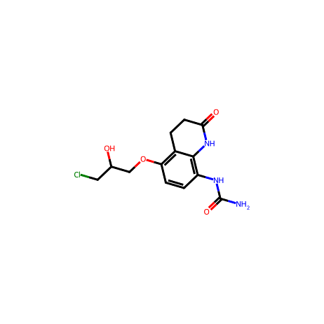 NC(=O)Nc1ccc(OCC(O)CCl)c2c1NC(=O)CC2